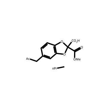 CCCC.COC(=O)C1(C(=O)O)Oc2ccc(CC(C)=O)cc2O1